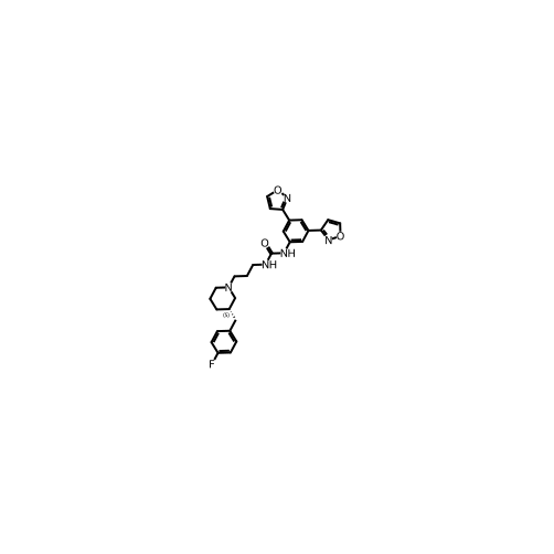 O=C(NCCCN1CCC[C@@H](Cc2ccc(F)cc2)C1)Nc1cc(-c2ccon2)cc(-c2ccon2)c1